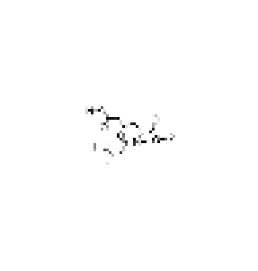 CC(C)OC(=O)[C@H](CCCC(=O)C=N)NC(=O)C[C@H](C)O